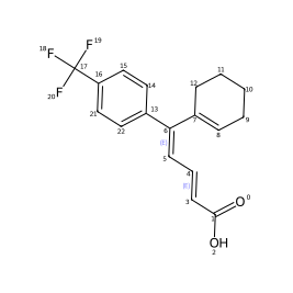 O=C(O)/C=C/C=C(\C1=CCCCC1)c1ccc(C(F)(F)F)cc1